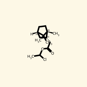 CC(Cl)OC(=O)C[C@@H]1C[C@@H]2CC[C@@]1(C)C2(C)C